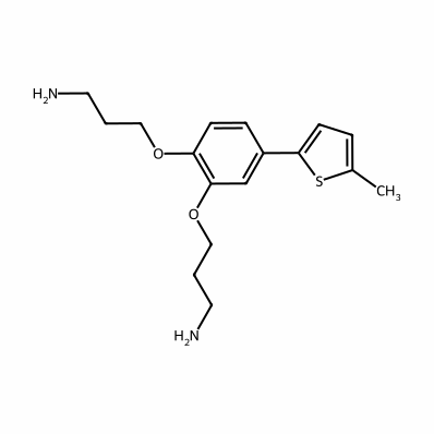 Cc1ccc(-c2ccc(OCCCN)c(OCCCN)c2)s1